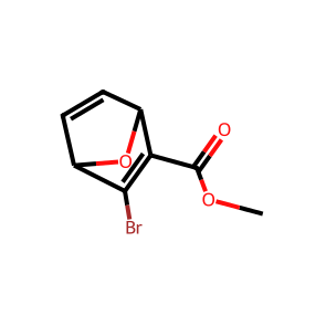 COC(=O)C1=C(Br)C2C=CC1O2